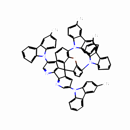 N#Cc1ccc2c(c1)c1ccccc1n2-c1cnc2c(c1)C1(c3cc(-n4c5ccccc5c5cc(C#N)ccc54)cnc3-2)c2cccc(-n3c4ccccc4c4cc(C#N)ccc43)c2Sc2c(-n3c4ccccc4c4cc(C#N)ccc43)cccc21